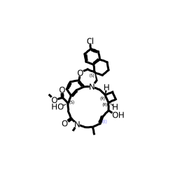 COC(=O)[C@]1(O)CC(=O)N(C)CC(C)/C=C/C(O)[C@@H]2CC[C@H]2CN2C[C@@]3(CCCc4cc(Cl)ccc43)COc3ccc1cc32